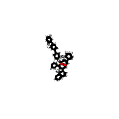 c1ccc(N(c2ccc(-c3ccc4c(c3)oc3ccccc34)cc2)c2cccc3c2sc2ccccc23)c(-c2cccc3c2oc2c4ccccc4ccc32)c1